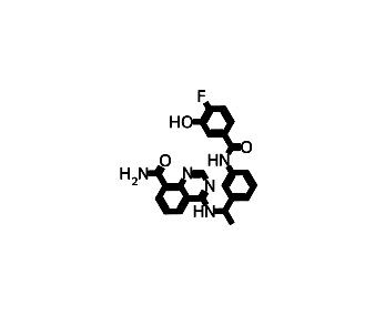 CC(Nc1ncnc2c(C(N)=O)cccc12)c1cccc(NC(=O)c2ccc(F)c(O)c2)c1